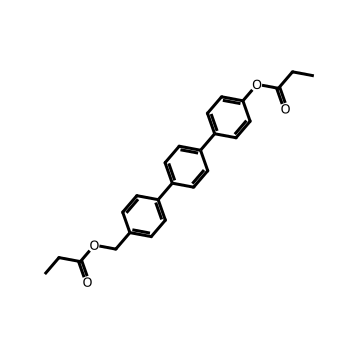 CCC(=O)OCc1ccc(-c2ccc(-c3ccc(OC(=O)CC)cc3)cc2)cc1